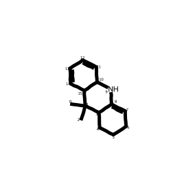 CC1(C)C2CCCC=C2NC2C=CC=CC21